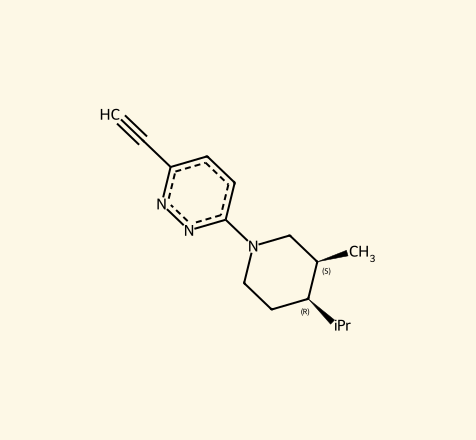 C#Cc1ccc(N2CC[C@H](C(C)C)[C@H](C)C2)nn1